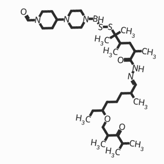 CCC(CCCC(C)/C=N/NC(=O)C(C)CC(C)C(C)(C)SSBN1CCN(C2CCN(C=O)CC2)CC1)OCC(C)C(=O)C(C)C